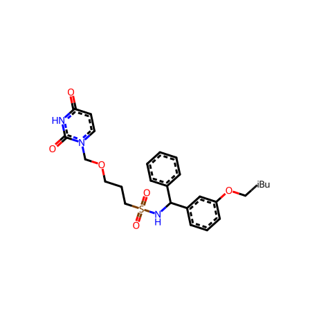 CCC(C)COc1cccc(C(NS(=O)(=O)CCCOCn2ccc(=O)[nH]c2=O)c2ccccc2)c1